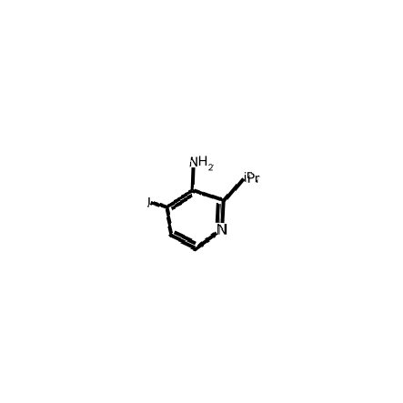 CC(C)c1nccc(I)c1N